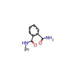 CC(C)NC(=O)c1ccccc1C(N)=O